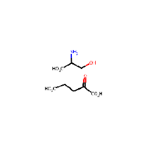 NC(CO)C(=O)O.O=C(O)CCC(=O)C(=O)O